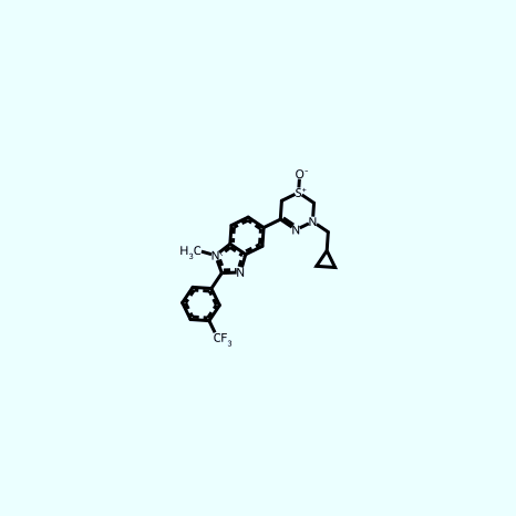 Cn1c(-c2cccc(C(F)(F)F)c2)nc2cc(C3=NN(CC4CC4)C[S+]([O-])C3)ccc21